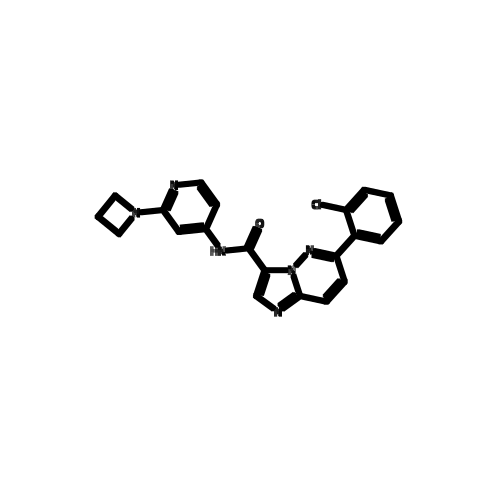 O=C(Nc1ccnc(N2CCC2)c1)c1cnc2ccc(-c3ccccc3Cl)nn12